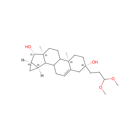 COC(CC[C@]1(O)CC[C@@]2(C)C(=CCC3C2CC[C@@]2(C)C3[C@H]3C[C@H]3[C@@H]2O)C1)OC